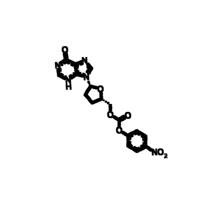 O=C(OC[C@@H]1CC[C@H](n2cnc3c(=O)nc[nH]c32)O1)Oc1ccc([N+](=O)[O-])cc1